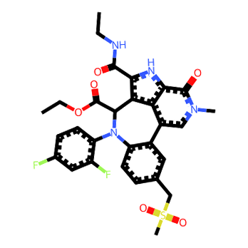 CCNC(=O)c1[nH]c2c(=O)n(C)cc3c2c1C(C(=O)OCC)N(c1ccc(F)cc1F)c1ccc(CS(C)(=O)=O)cc1-3